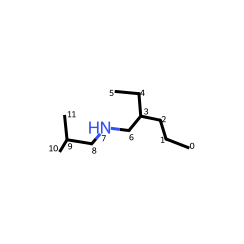 CCCC(CC)CNCC(C)C